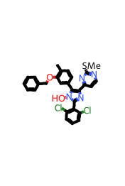 CSc1nccc(-c2nc(-c3c(Cl)cccc3Cl)n(O)c2-c2ccc(C)c(OCc3ccccc3)c2)n1